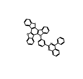 c1ccc(-c2nc(-c3cccc(-n4c5ccccc5c5c6sc7ccccc7c6c6oc7ccccc7c6c54)c3)nc3ccccc23)cc1